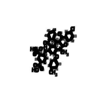 Cc1ccc(Oc2cc(Nc3ccc(S(=O)(=O)O)cc3S(=O)(=O)O)c3c4c(c(C(=O)c5cccc(Cl)c5)c(=O)n(C)c24)-c2ccccc2C3=O)cc1